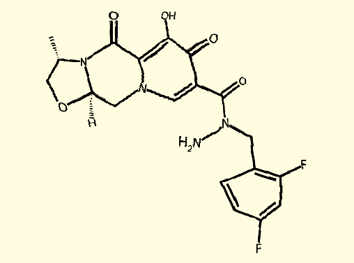 C[C@H]1CO[C@@H]2Cn3cc(C(=O)N(N)Cc4ccc(F)cc4F)c(=O)c(O)c3C(=O)N12